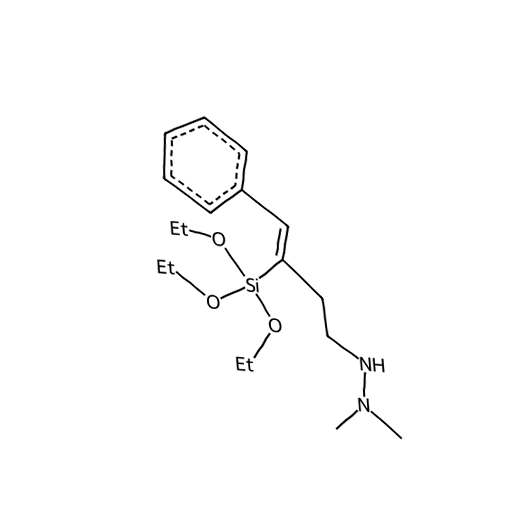 CCO[Si](OCC)(OCC)C(=Cc1ccccc1)CCNN(C)C